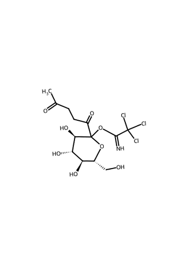 CC(=O)CCC(=O)C1(OC(=N)C(Cl)(Cl)Cl)O[C@H](CO)[C@@H](O)[C@H](O)[C@H]1O